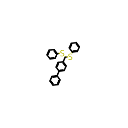 c1ccc(SC(Sc2ccccc2)c2ccc(-c3ccccc3)cc2)cc1